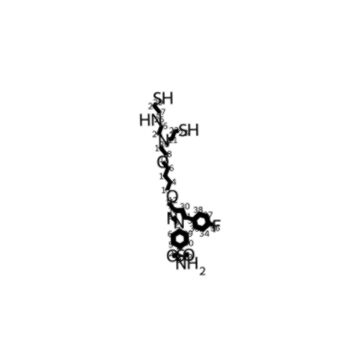 NS(=O)(=O)c1ccc(-n2nc(COCCCCOCCN(CCS)CCNCCS)cc2-c2ccc(F)cc2)cc1